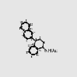 CC(=O)NC1CCC(c2ccc3ccccc3c2)c2ccccc21